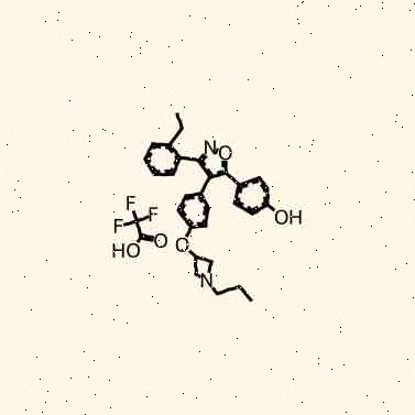 CCCN1CC(Oc2ccc(-c3c(-c4ccccc4CC)noc3-c3ccc(O)cc3)cc2)C1.O=C(O)C(F)(F)F